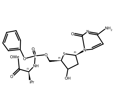 COC(=O)[C@@H](NP(=O)(OC[C@H]1S[C@@H](n2ccc(N)nc2=O)CC1O)Oc1ccccc1)C(C)C